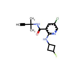 C#CC(C)(C)NC(=O)c1cc(Cl)cnc1NC1CC(F)C1